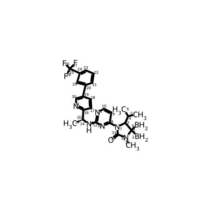 BC1(B)C(C(C)C)N(c2ccnc(N[C@@H](C)c3ccc(-c4cccc(C(F)(F)F)c4)cn3)n2)C(=O)N1C